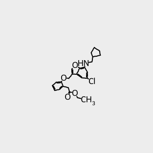 CCOC(=O)Cc1ccccc1OCc1coc2c(NCC3CCCC3)cc(Cl)cc12